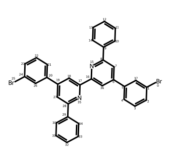 Brc1cccc(-c2cc(-c3ccccc3)nc(-c3cc(-c4cccc(Br)c4)cc(-c4ccccc4)n3)c2)c1